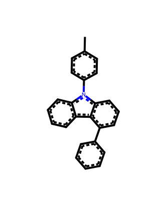 Cc1ccc(-n2c3ccccc3c3c(-c4ccccc4)cccc32)cc1